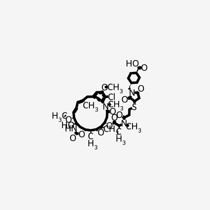 COc1cc2cc(c1Cl)N(C)C(=O)C[C@H](OC(=O)[C@H](C)N(C)C(=O)CCSC1CC(=O)N(C[C@H]3CC[C@H](C(=O)O)CC3)C1=O)[C@]1(C)OC1[C@H](C)C1C[C@@](O)(NC(=O)O1)[C@H](OC)/C=C/C=C(\C)C2